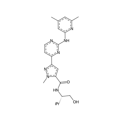 Cc1cc(C)nc(Nc2nccc(-c3cc(C(=O)N[C@H](CO)C(C)C)n(C)n3)n2)c1